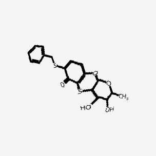 CC1OC2OC3=C(SC2C(O)C1O)C(=O)C(SCc1ccccc1)CC3